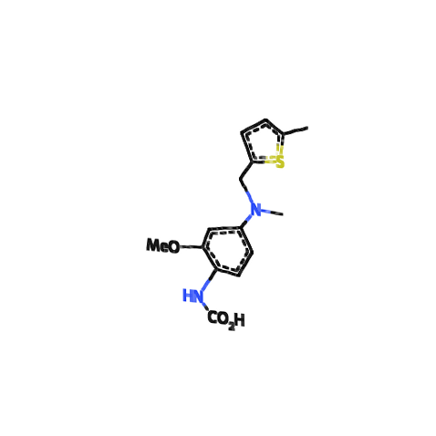 COc1cc(N(C)Cc2ccc(C)s2)ccc1NC(=O)O